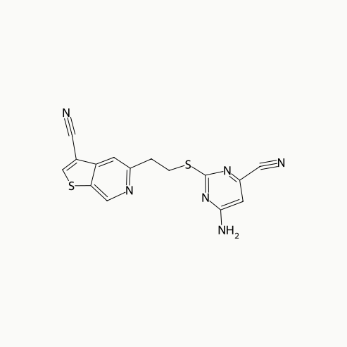 N#Cc1cc(N)nc(SCCc2cc3c(C#N)csc3cn2)n1